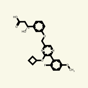 COc1ccc(F)c(-c2ncc(COc3cccc([C@H](O)CC(=O)O)c3)nc2OC2CCC2)c1